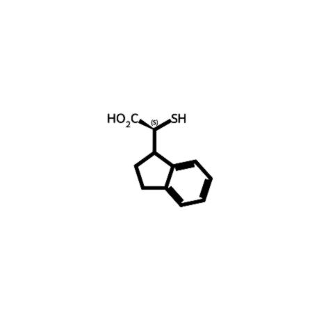 O=C(O)[C@@H](S)C1CCc2ccccc21